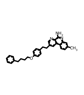 Cc1ccc2c(c1)nc(N)c1ncc(CCc3ccc(OCCCCc4ccccc4)cc3)cc12